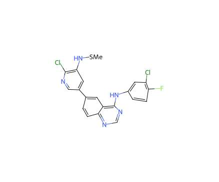 CSNc1cc(-c2ccc3ncnc(Nc4ccc(F)c(Cl)c4)c3c2)cnc1Cl